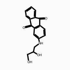 O=C1c2ccccc2C(=O)c2cc(NCC(O)CO)ccc21